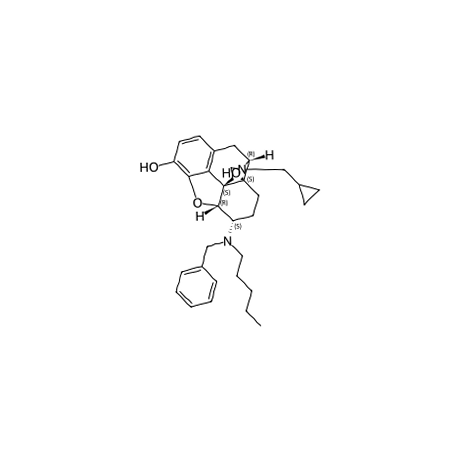 CCCCCN(Cc1ccccc1)[C@H]1CC[C@@]2(O)[C@H]3Cc4ccc(O)c5c4[C@@]2(CCN3CC2CC2)[C@H]1O5